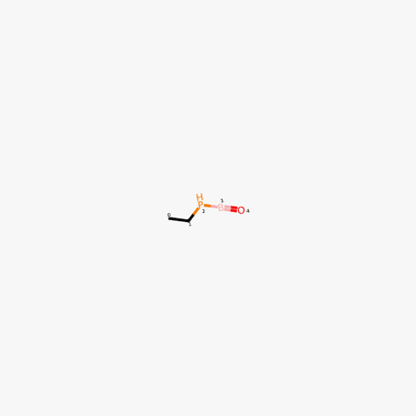 CCPB=O